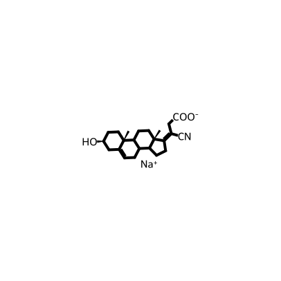 C[C@]12CC[C@H](O)CC1=CCC1C2CC[C@]2(C)C(=C(C#N)CC(=O)[O-])CCC12.[Na+]